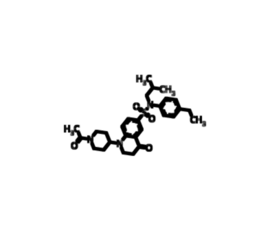 CCc1ccc(N(CC(C)C)S(=O)(=O)c2ccc3c(c2)C(=O)CCN3C2CCN(C(C)=O)CC2)cc1